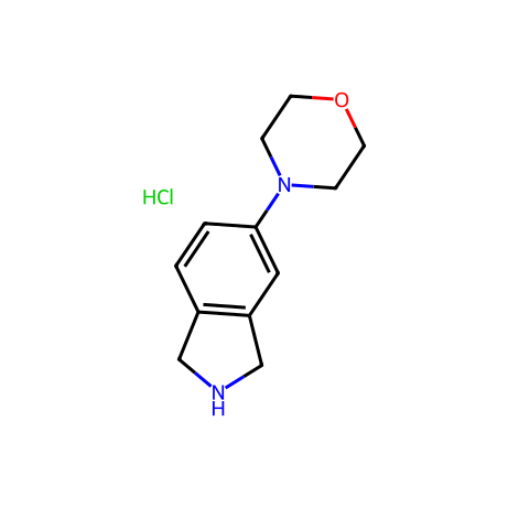 Cl.c1cc2c(cc1N1CCOCC1)CNC2